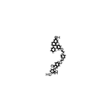 O=C1NC(O)CC[C@@H]1N1Cc2cc(OCCN3CCN(CCOc4ccc([C@@H]5c6ccc(O)cc6CC[C@@H]5c5ccccc5)cc4)CC3)ccc2C1=O